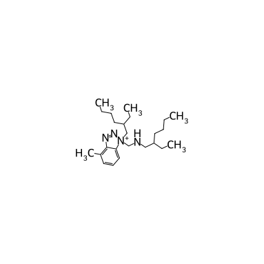 CCCCC(CC)CNC[N+]1(CC(CC)CCCC)N=Nc2c(C)cccc21